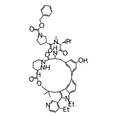 CCc1ccncc1-c1c2c3cc(ccc3n1CC)-c1cc(O)cc(c1)C[C@H](NC(=O)[C@H](C(C)C)N(C)C(=O)[C@H]1CCN(C(=O)OCc3ccccc3)C1)C(=O)N1CCC[C@H](N1)C(=O)OCC(C)(C)C2